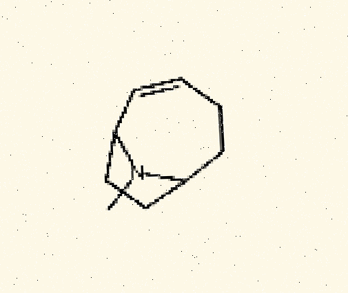 CN1C2C=CCCC1CC2